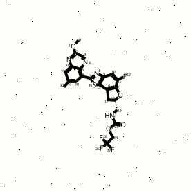 COc1cnc2c(-c3nc4cc(F)c5c(c4s3)C[C@@H](CNC(=O)OCC(F)(F)F)O5)cc(C)cc2n1